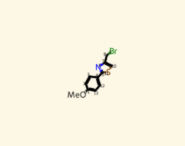 COc1ccc(-c2nc(CBr)cs2)cc1